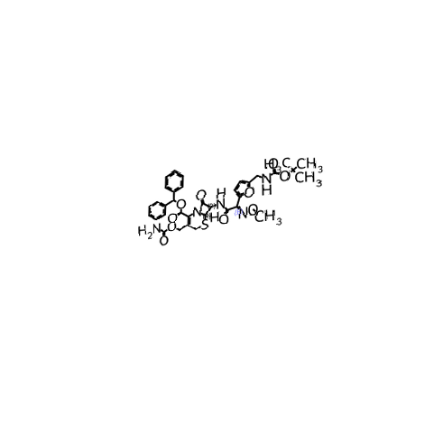 CO/N=C(/C(=O)N[C@@H]1C(=O)N2C(C(=O)OC(c3ccccc3)c3ccccc3)=C(COC(N)=O)CS[C@H]12)c1ccc(CNC(=O)OC(C)(C)C)o1